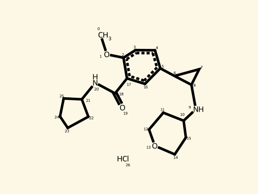 COc1ccc(C2CC2NC2CCOCC2)cc1C(=O)NC1CCCC1.Cl